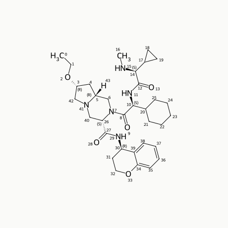 CCO[C@@H]1C[C@@H]2CN(C(=O)[C@@H](NC(=O)[C@@H](NC)C3CC3)C3CCCCC3)[C@H](C(=O)N[C@@H]3CCOc4ccccc43)CN2C1